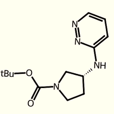 CC(C)(C)OC(=O)N1CC[C@@H](Nc2cccnn2)C1